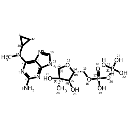 CN(c1nc(N)nc2c1ncn2[C@@H]1O[C@H](COP(=O)(O)O[PH](O)(O)O)[C@@H](O)[C@@]1(C)O)C1CC1